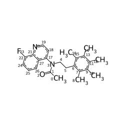 CC(=O)N(CCc1c(C)c(C)c(C)c(C)c1C)c1ccnc2c(F)cccc12